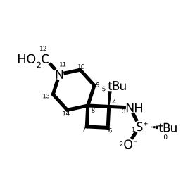 CC(C)(C)[S@+]([O-])N[C@]1(C(C)(C)C)CCC12CCN(C(=O)O)CC2